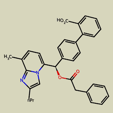 CCCc1cn2c([C@H](OC(=O)Cc3ccccc3)c3ccc(-c4ccccc4C(=O)O)cc3)ccc(C)c2n1